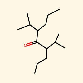 CCCC(C(=O)C(CCC)C(C)C)C(C)C